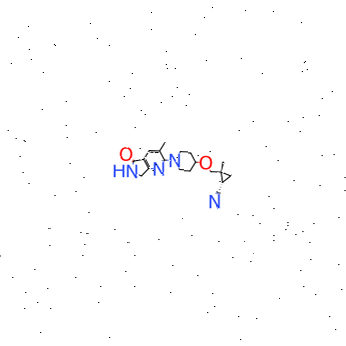 Cc1cc2c(nc1N1CCC(OC[C@]3(C)C[C@@H]3C#N)CC1)CNC2=O